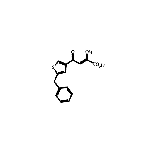 O=C(O)C(O)=CC(=O)c1csc(Cc2ccccc2)c1